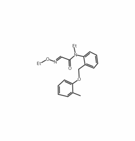 CCON=CC(=O)N(CC)c1ccccc1COc1ccccc1C